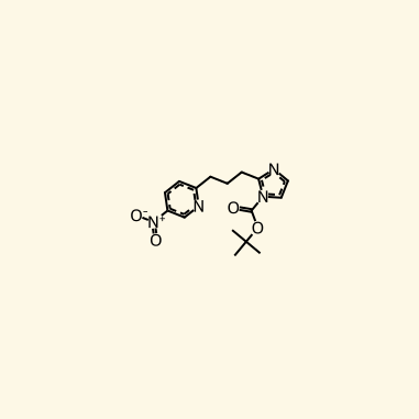 CC(C)(C)OC(=O)n1ccnc1CCCc1ccc([N+](=O)[O-])cn1